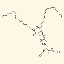 CCCCC/C=C\C/C=C\CCCCCCCCOC(=O)C1CC(OC(=O)CNC[C@@H](OCCOC)[C@H](C)OCCOC)CN1C(=O)CCCCCCC/C=C\C/C=C\CCCCC